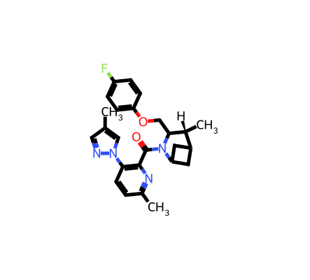 Cc1cnn(-c2ccc(C)nc2C(=O)N2C3CC(C3)[C@@H](C)C2COc2ccc(F)cc2)c1